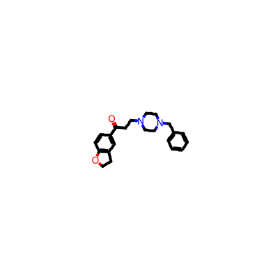 O=C(CCN1CCN(Cc2ccccc2)CC1)c1ccc2c(c1)CCO2